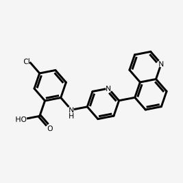 O=C(O)c1cc(Cl)ccc1Nc1ccc(-c2cccc3ncccc23)nc1